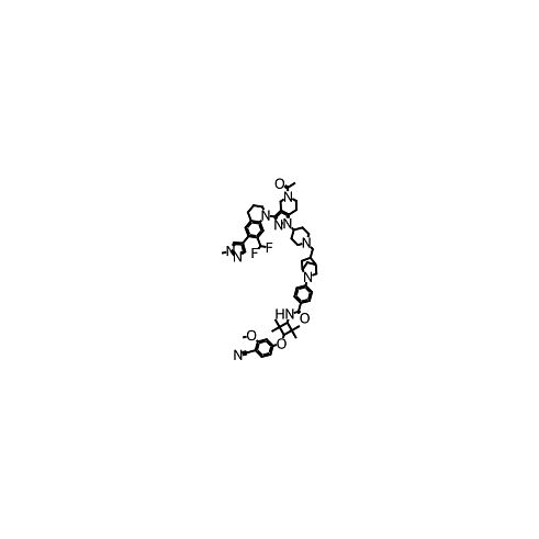 COc1cc(OC2C(C)(C)C(NC(=O)c3ccc(N4CC5CC4CC5CN4CCC(n5nc(N6CCCc7cc(-c8cnn(C)c8)c(C(F)F)cc76)c6c5CCN(C(C)=O)C6)CC4)cc3)C2(C)C)ccc1C#N